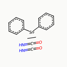 CC.N=C=O.N=C=O.c1cc[c]([Sn][c]2ccccc2)cc1